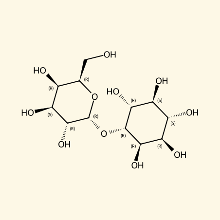 OC[C@H]1O[C@H](O[C@H]2[C@H](O)[C@H](O)[C@@H](O)[C@H](O)[C@H]2O)[C@H](O)[C@@H](O)[C@H]1O